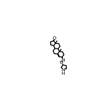 CC12CCC3C(CCC4=C/C(=N\OC5CCNC5)CCC43C)C1CCC2=O